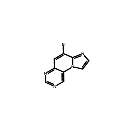 Brc1cc2ncncc2n2ccnc12